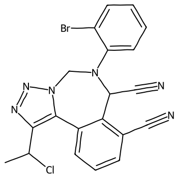 CC(Cl)c1nnn2c1-c1cccc(C#N)c1C(C#N)N(c1ccccc1Br)C2